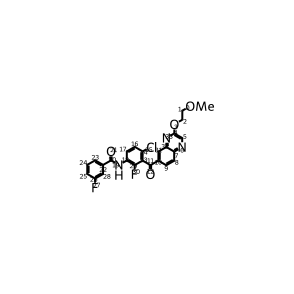 COCCOc1cnc2ccc(C(=O)c3c(Cl)ccc(NC(=O)c4cccc(F)c4)c3F)cc2n1